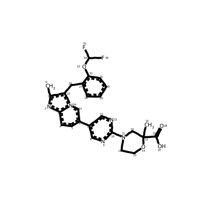 Cc1nc2ccc(-c3cnc(N4CCOC(C)(C(=O)O)C4)nc3)cn2c1Cc1ccccc1OC(F)F